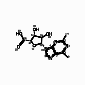 Cc1nc(I)nc2c1ncn2[C@@H]1O[C@H](C(=O)O)[C@H](O)C1O